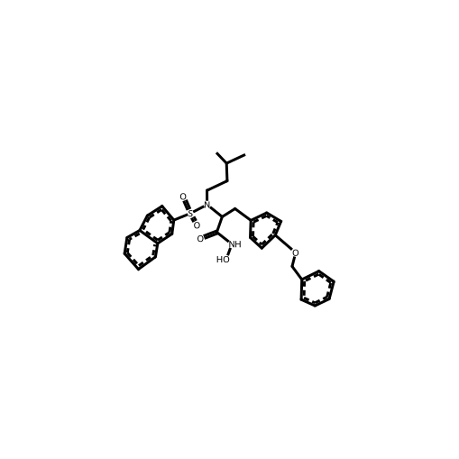 CC(C)CCN(C(Cc1ccc(OCc2ccccc2)cc1)C(=O)NO)S(=O)(=O)c1ccc2ccccc2c1